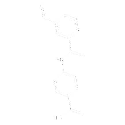 NC(=O)c1ccc(NC(=O)c2cccc(C=O)c2)cc1